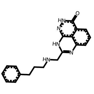 O=c1[nH]nc2c3c(cccc13)N=C(CNCCCc1ccccc1)N2